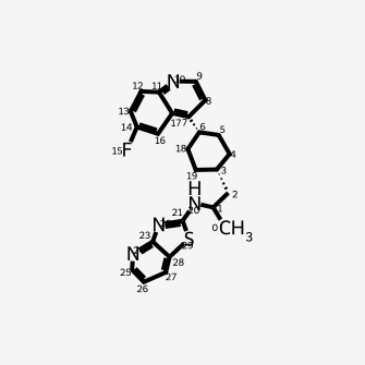 CC(C[C@H]1CC[C@@H](c2ccnc3ccc(F)cc32)CC1)Nc1nc2ncccc2s1